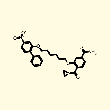 NC(=O)c1ccc(C(=O)N2CC2)c(OCCCCCCOc2cc([N+](=O)[O-])ccc2-c2ccccc2)c1